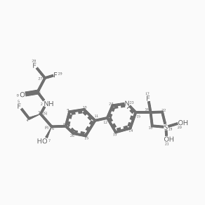 O=C(N[C@H](CF)[C@H](O)c1ccc(-c2ccc(C3(F)CS(O)(O)C3)nc2)cc1)C(F)F